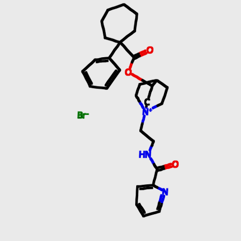 O=C(NCC[N+]12CCC(CC1)C(OC(=O)C1(c3ccccc3)CCCCCC1)C2)c1ccccn1.[Br-]